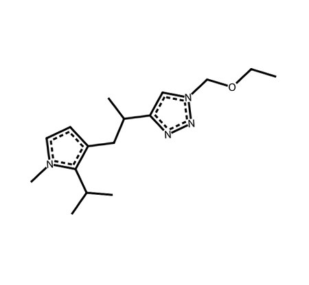 CCOCn1cc(C(C)Cc2ccn(C)c2C(C)C)nn1